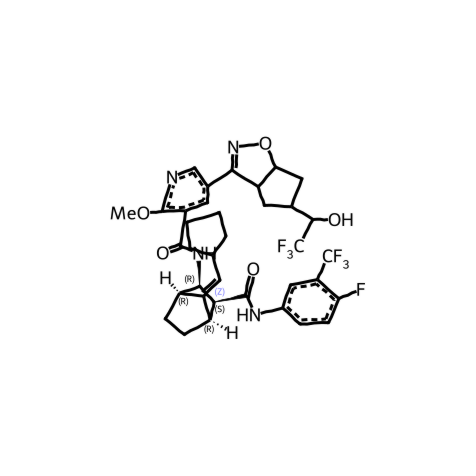 COc1ncc(C2=NOC3CC(C(O)C(F)(F)F)CC23)cc1C(=O)N[C@H]1[C@@H](C(=O)Nc2ccc(F)c(C(F)(F)F)c2)[C@H]2CC[C@@H]1/C2=C\C1CCCC1